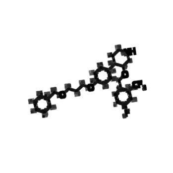 Fc1ccc(COC2CNCCC2c2ccc(OCCCOCc3ccccc3)cc2)c(C(F)(F)F)c1